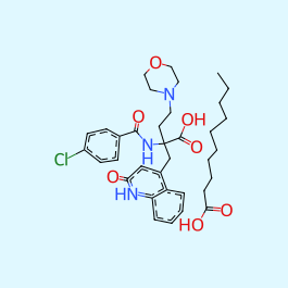 CCCCCCCCCC(=O)O.O=C(NC(CCN1CCOCC1)(Cc1cc(=O)[nH]c2ccccc12)C(=O)O)c1ccc(Cl)cc1